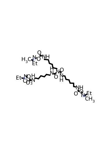 CC/C(C)=N\OC(=O)NCCCCCCNC(=O)N(CCCCCCNC(=O)O/N=C(/C)CC)C(=O)NCCCCCCNC(=O)O/N=C(\C)CC